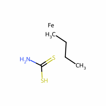 CCCC.NC(=S)S.[Fe]